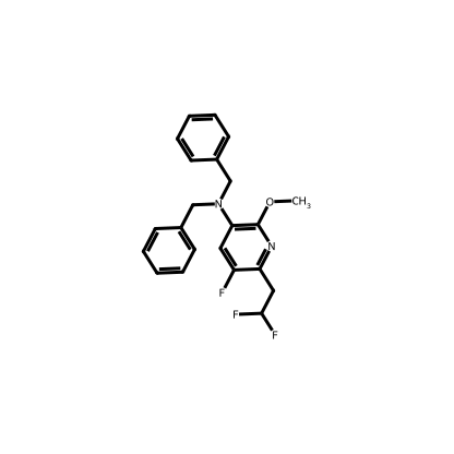 COc1nc(CC(F)F)c(F)cc1N(Cc1ccccc1)Cc1ccccc1